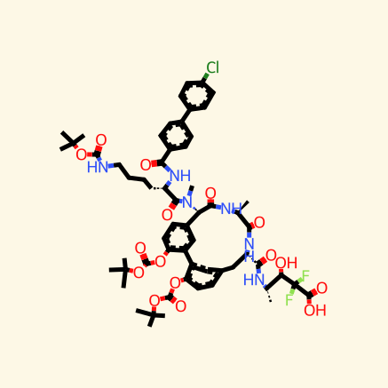 C[C@@H]1NC(=O)[C@@H](N(C)C(=O)[C@H](CCCCNC(=O)OC(C)(C)C)NC(=O)c2ccc(-c3ccc(Cl)cc3)cc2)c2ccc(OC(=O)OC(C)(C)C)c(c2)-c2cc(ccc2OC(=O)OC(C)(C)C)C[C@@H](C(=O)N[C@@H](C)C(O)C(F)(F)C(=O)O)NC1=O